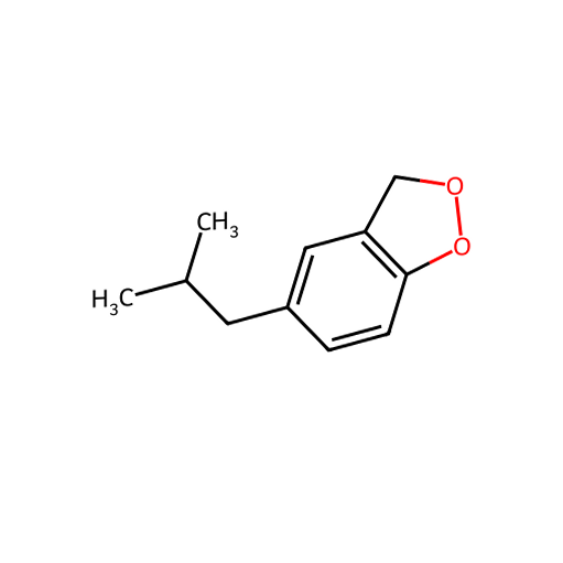 CC(C)Cc1ccc2c(c1)COO2